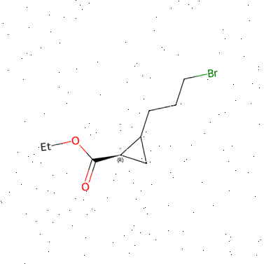 CCOC(=O)[C@@H]1CC1CCCBr